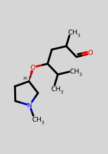 CC(C=O)CC(O[C@@H]1CCN(C)C1)C(C)C